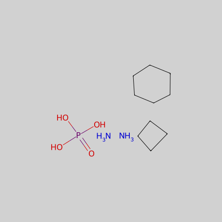 C1CCC1.C1CCCCC1.N.N.O=P(O)(O)O